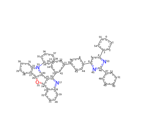 c1ccc(-c2cc(-c3ccc(-c4cccc(-c5nc6ccccc6c6oc7c8ccccc8n(-c8ccccc8)c7c56)c4)cc3)nc(-c3ccccc3)n2)cc1